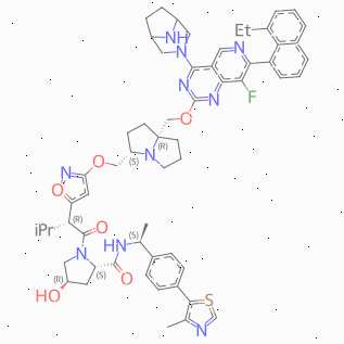 CCc1cccc2cccc(-c3ncc4c(N5CC6CCC(C5)N6)nc(OC[C@]56CCCN5[C@H](COc5cc([C@H](C(=O)N7C[C@H](O)C[C@H]7C(=O)N[C@@H](C)c7ccc(-c8scnc8C)cc7)C(C)C)on5)CC6)nc4c3F)c12